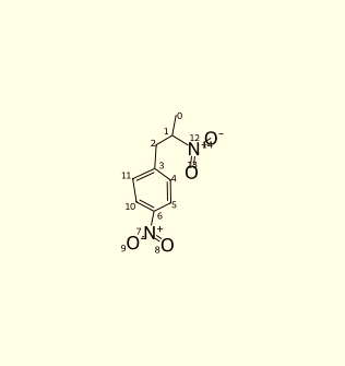 CC(Cc1ccc([N+](=O)[O-])cc1)[N+](=O)[O-]